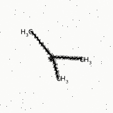 CCCCCCCCCCCCCCCCCCN1C=CN(CCCCCCCCCCC)C1CCCCCCCCCCCCCCCC